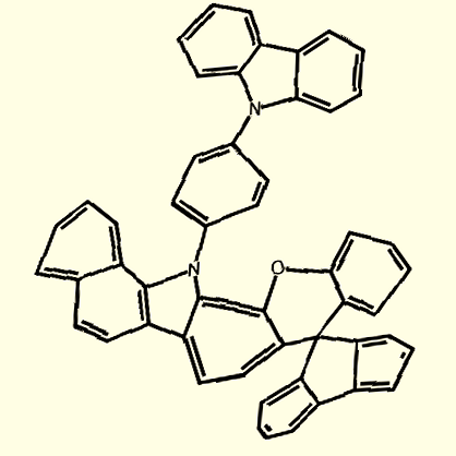 c1ccc2c(c1)Oc1c(ccc3c4ccc5ccccc5c4n(-c4ccc(-n5c6ccccc6c6ccccc65)cc4)c13)C21c2ccccc2-c2ccccc21